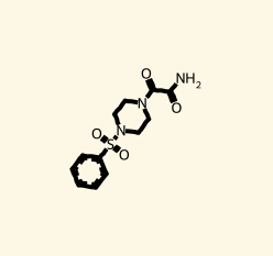 NC(=O)C(=O)N1CCN(S(=O)(=O)c2ccccc2)CC1